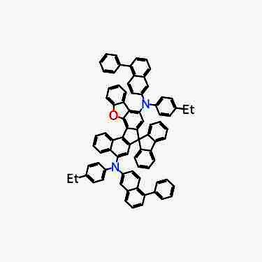 CCc1ccc(N(c2ccc3c(-c4ccccc4)cccc3c2)c2cc3c(c4ccccc24)-c2c(cc(N(c4ccc(CC)cc4)c4ccc5c(-c6ccccc6)cccc5c4)c4c2oc2ccccc24)C32c3ccccc3-c3ccccc32)cc1